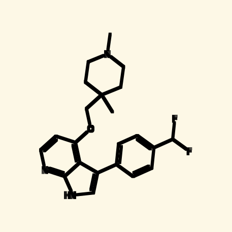 CN1CCC(C)(COc2ccnc3[nH]cc(-c4ccc(C(F)F)cc4)c23)CC1